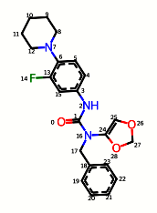 O=C(Nc1ccc(N2CCCCC2)c(F)c1)N(Cc1ccccc1)C1=COCO1